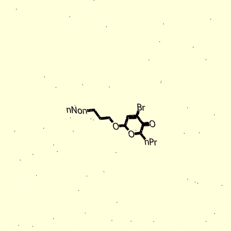 CCCCCCCCCCCCOC1C=C(Br)C(=O)C(CCC)O1